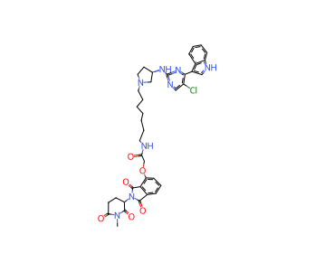 CN1C(=O)CCC(N2C(=O)c3cccc(OCC(=O)NCCCCCCCN4CC[C@@H](Nc5ncc(Cl)c(-c6c[nH]c7ccccc67)n5)C4)c3C2=O)C1=O